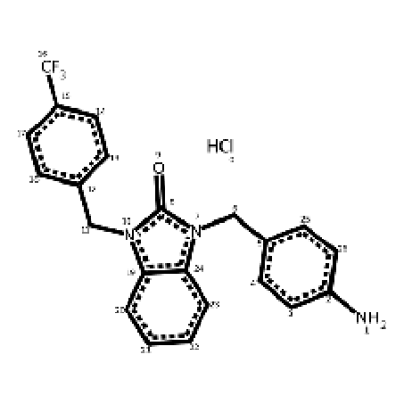 Cl.Nc1ccc(Cn2c(=O)n(Cc3ccc(C(F)(F)F)cc3)c3ccccc32)cc1